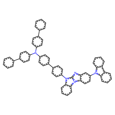 c1ccc(-c2ccc(N(c3ccc(-c4ccccc4)cc3)c3ccc(-c4ccc(-n5c6ccccc6n6c7ccc(-n8c9ccccc9c9ccccc98)cc7nc56)cc4)cc3)cc2)cc1